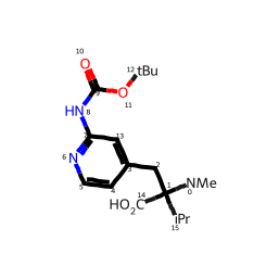 CNC(Cc1ccnc(NC(=O)OC(C)(C)C)c1)(C(=O)O)C(C)C